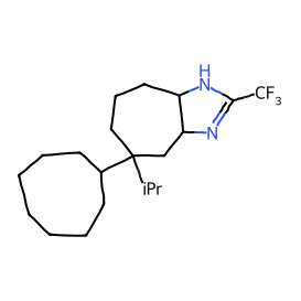 CC(C)C1(C2CCCCCCC2)CCCC2NC(C(F)(F)F)=NC2C1